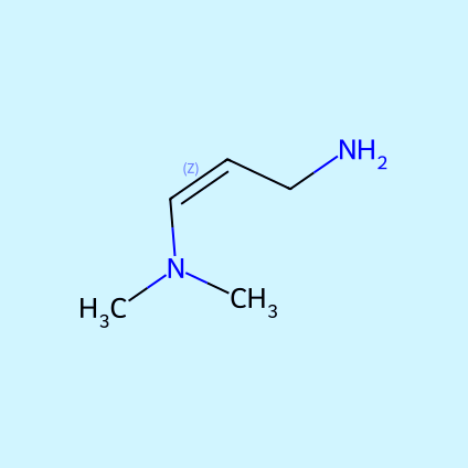 CN(C)/C=C\CN